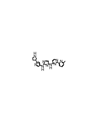 Cc1cccc(-c2nccc(Nc3ccnc(Nc4cnn(C5CCNC5)c4)n3)n2)n1